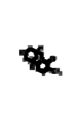 Cc1ccc2n(c1=O)C[C@@H]1CNC[C@H]2C1